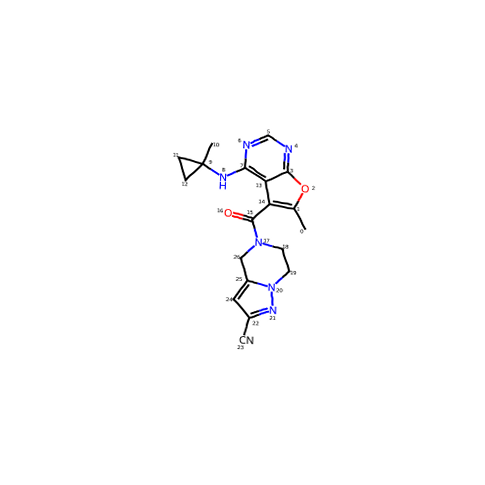 Cc1oc2ncnc(NC3(C)CC3)c2c1C(=O)N1CCn2nc(C#N)cc2C1